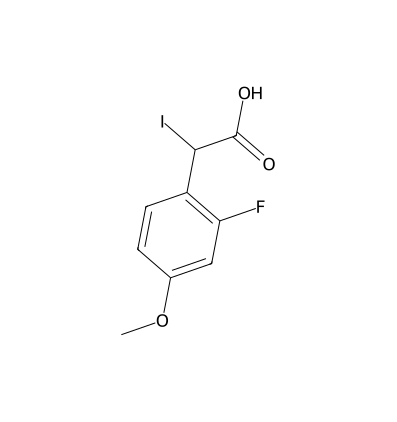 COc1ccc(C(I)C(=O)O)c(F)c1